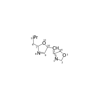 C1=NCOC1.CC(C)CC1N=CC(C)O1